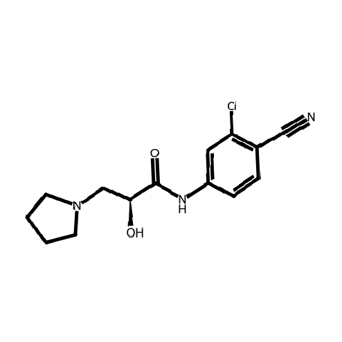 N#Cc1ccc(NC(=O)[C@@H](O)CN2CCCC2)cc1Cl